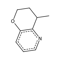 CC1CCOc2cccnc21